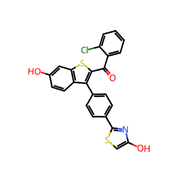 O=C(c1ccccc1Cl)c1sc2cc(O)ccc2c1-c1ccc(-c2nc(O)cs2)cc1